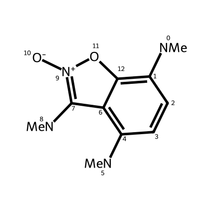 CNc1ccc(NC)c2c(NC)[n+]([O-])oc12